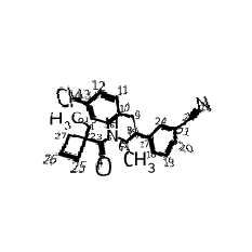 CCC1(C(=O)N[C@@H](C)[C@@H](Cc2ccc(Cl)cc2)c2cccc(C#N)c2)CCC1